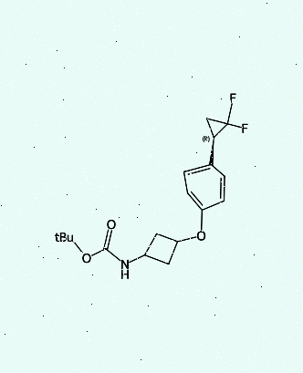 CC(C)(C)OC(=O)NC1CC(Oc2ccc([C@H]3CC3(F)F)cc2)C1